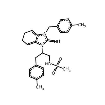 Cc1ccc(CC(CNS(C)(=O)=O)n2c3c(n(Cc4ccc(C)cc4)c2=N)=CCCC=3)cc1